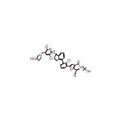 COc1nc(O[C@H]2CCc3c(-c4cccc(-c5cc6c(=O)n(CC(C)(C)O)cc(C#N)c6o5)c4Cl)cccc32)c(Cl)cc1CN1CC[C@@H](O)C1